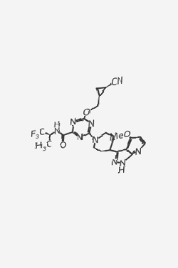 COc1ccnc2[nH]nc(C3CCN(c4nc(OC[C@H]5C[C@H]5C#N)nc(C(=O)N[C@@H](C)C(F)(F)F)n4)CC3)c12